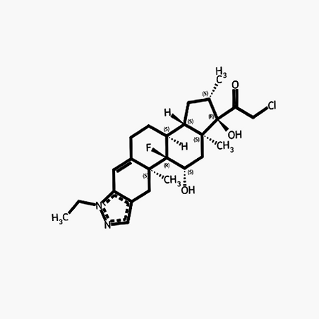 CCn1ncc2c1C=C1CC[C@H]3[C@@H]4C[C@H](C)[C@](O)(C(=O)CCl)[C@@]4(C)C[C@H](O)[C@]3(F)[C@@]1(C)C2